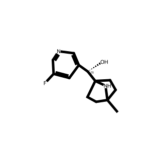 CC12CCC([C@@H](O)c3cncc(F)c3)(CC1)N2